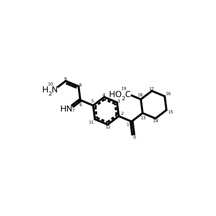 C=C(c1ccc(C(=N)/C=C\N)cc1)C1CCCCC1C(=O)O